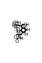 [2H]c1c(C[C@]2([2H])COC(=O)N2[2H])c([2H])c2c(C([2H])([2H])C([2H])([2H])N(C)C)cn([2H])c2c1[2H]